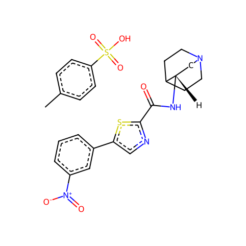 Cc1ccc(S(=O)(=O)O)cc1.O=C(N[C@H]1CN2CCC1CC2)c1ncc(-c2cccc([N+](=O)[O-])c2)s1